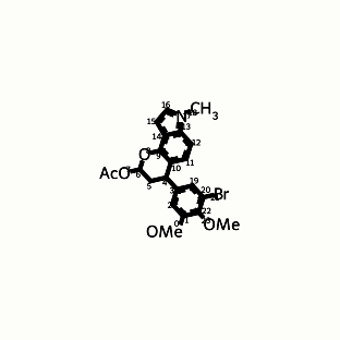 COc1cc(C2CC(OC(C)=O)Oc3c2ccc2c3ccn2C)cc(Br)c1OC